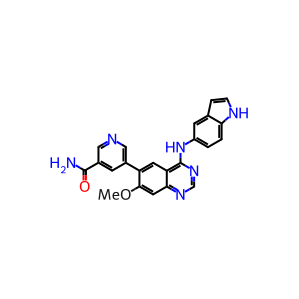 COc1cc2ncnc(Nc3ccc4[nH]ccc4c3)c2cc1-c1cncc(C(N)=O)c1